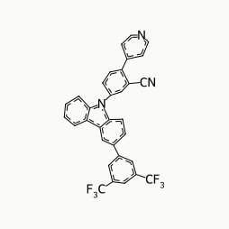 N#Cc1cc(-n2c3ccccc3c3cc(-c4cc(C(F)(F)F)cc(C(F)(F)F)c4)ccc32)ccc1-c1ccncc1